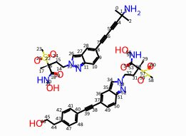 CC(C)(N)C#CC#Cc1ccc2nn(CC[C@](C)(C(=O)NO)S(C)(=O)=O)cc2c1.C[C@@](CCn1cc2cc(C#Cc3ccc(CCO)cc3)ccc2n1)(C(=O)NO)S(C)(=O)=O